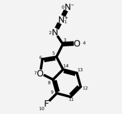 [N-]=[N+]=NC(=O)c1coc2c(F)cccc12